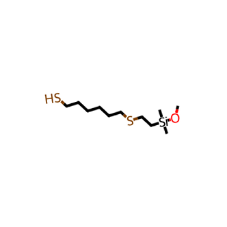 CO[Si](C)(C)CCSCCCCCCS